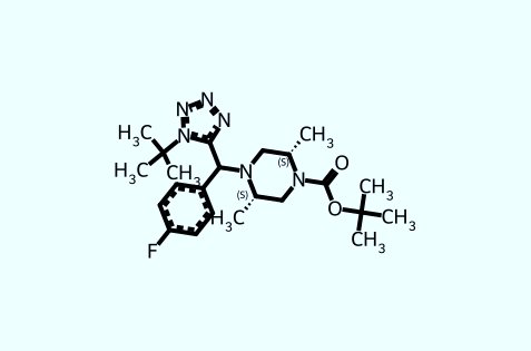 C[C@H]1CN(C(c2ccc(F)cc2)c2nnnn2C(C)(C)C)[C@@H](C)CN1C(=O)OC(C)(C)C